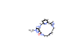 Cn1cc2c(n1)C(=O)NCC/C=C\CCn1cc(cn1)-c1cccc(n1)CN2